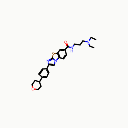 CCN(CC)CCCNC(=O)c1ccc2c(c1)sc1nc(-c3ccc(C4CCOCC4)cc3)cn12